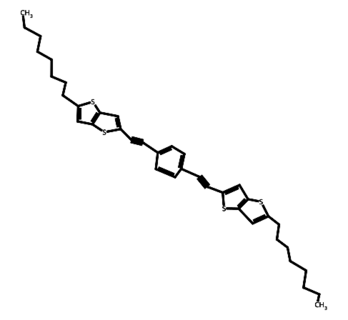 CCCCCCCCc1cc2sc(C#Cc3ccc(C#Cc4cc5sc(CCCCCCCC)cc5s4)cc3)cc2s1